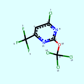 FC(F)(F)c1cc(Cl)nc(OC(Cl)(Cl)Cl)n1